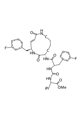 COC(=O)C(NC(=O)NC(Cc1cccc(F)c1)C(=O)N[C@H]1CCCCNC(=O)/C=C/[C@H](Cc2cccc(F)c2)NC1=O)C(C)C